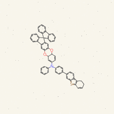 C1=Cc2sc3cc(-c4ccc(N(C5=CC6Oc7cc8c(cc7OC6C=C5)C5(c6ccccc6-c6ccccc65)c5ccccc5-8)c5ccccc5)cc4)ccc3c2CC1